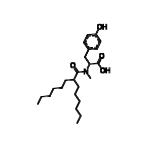 CCCCCCC(CCCCCC)C(=O)N(C)C(Cc1ccc(O)cc1)C(=O)O